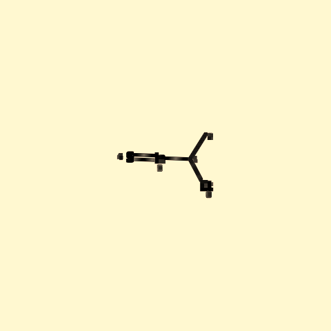 CC[CH](C)[In]=[S]